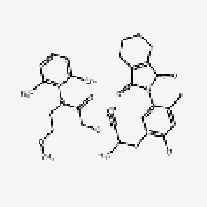 C#CC(C)Oc1cc(N2C(=O)C3=C(CCCC3)C2=O)c(F)cc1Cl.COCCN(C(=O)CCl)c1c(C)cccc1C